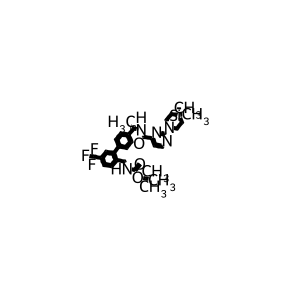 C[C@@H](NC(=O)c1ccnc(N2CC[Si](C)(C)CC2)n1)c1ccc(-c2cc(C(F)(F)F)ccc2CNC(=O)OC(C)(C)C)cc1